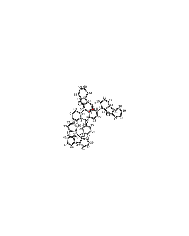 c1ccc(N(c2ccc(-c3cccc4c3oc3ccccc34)cc2)c2cccc3c2-c2ccccc2C32c3ccccc3-c3ccccc32)c(-c2cccc3c2oc2ccccc23)c1